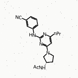 CCCc1cc(N2CC[C@H](NC(C)=O)C2)nc(Nc2cccc(C#N)c2)n1